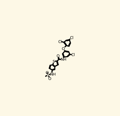 CS(=O)(=O)Nc1ccc2sc(C(=O)Nc3cc(Cl)cc(Oc4ccc(Cl)cc4Cl)c3)cc2c1